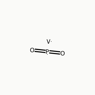 O=[P]=O.[V]